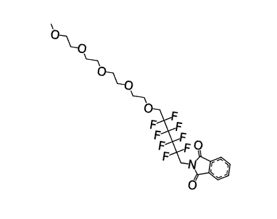 COCCOCCOCCOCCOCC(F)(F)C(F)(F)C(F)(F)C(F)(F)CN1C(=O)c2ccccc2C1=O